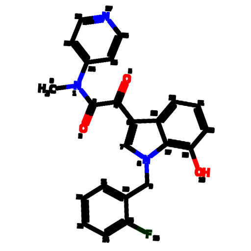 CN(C(=O)C(=O)c1cn(Cc2ccccc2F)c2c(O)cccc12)c1ccncc1